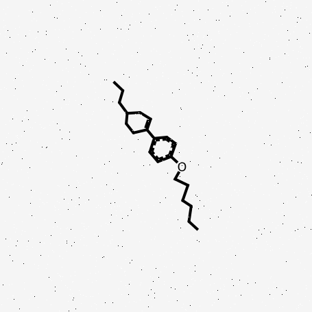 CCCCCCOc1ccc(C2=CCC(CCC)CC2)cc1